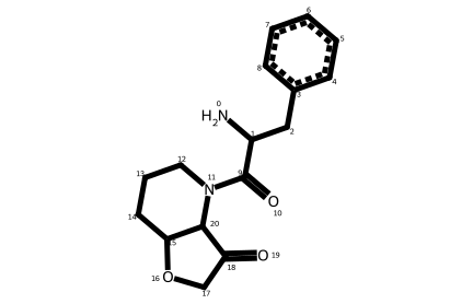 NC(Cc1ccccc1)C(=O)N1CCCC2OCC(=O)C21